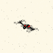 CCOP(=O)(CCCSO[Si](C)(O)O[Si](O[SiH](C)O[Si](C)(C)CCCP(=O)(OCC)OCC)(c1ccccc1)c1ccccc1)OCC